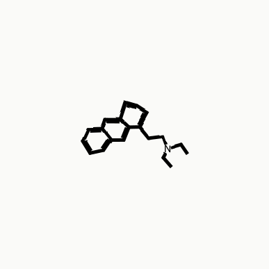 CCN(CC)CCc1cccc2cc3ccccc3cc12